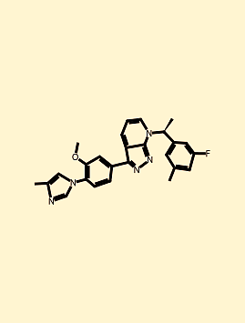 COc1cc(-c2nnc3n([C@@H](C)c4cc(C)cc(F)c4)cccc2-3)ccc1-n1cnc(C)c1